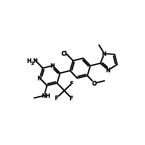 CNc1nc(N)nc(-c2cc(OC)c(-c3nccn3C)cc2Cl)c1C(F)(F)F